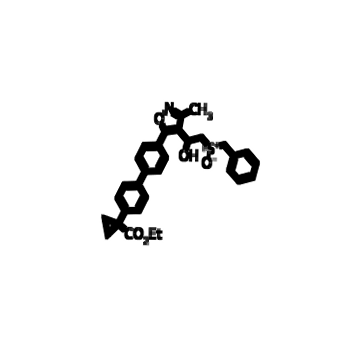 CCOC(=O)C1(c2ccc(-c3ccc(-c4onc(C)c4C(O)C[S@@+]([O-])Cc4ccccc4)cc3)cc2)CC1